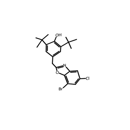 CC(C)(C)c1cc(Cc2nc3cc(Cl)cc(Br)c3o2)cc(C(C)(C)C)c1O